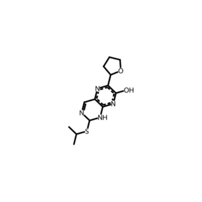 CC(C)SC1N=Cc2nc(C3CCCO3)c(O)nc2N1